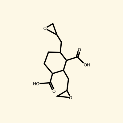 O=C(O)C1CCC(CC2CO2)C(C(=O)O)C1CC1CO1